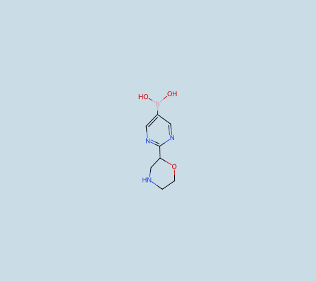 OB(O)c1cnc(C2CNCCO2)nc1